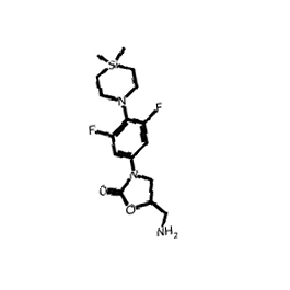 C[Si]1(C)CCN(c2c(F)cc(N3CC(CN)OC3=O)cc2F)CC1